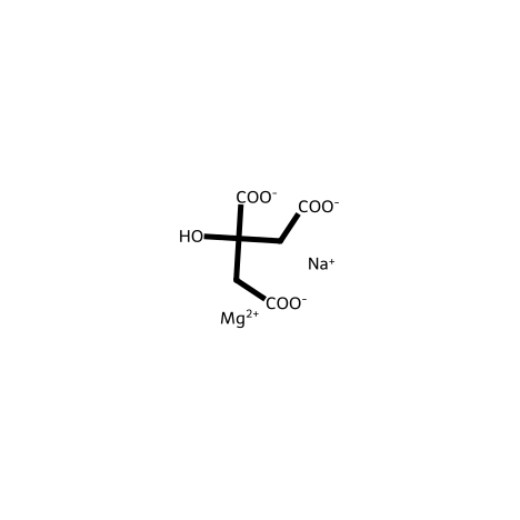 O=C([O-])CC(O)(CC(=O)[O-])C(=O)[O-].[Mg+2].[Na+]